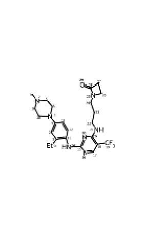 CCc1cc(N2CCN(C)CC2)ccc1Nc1ncc(C(F)(F)F)c(NCCCN2CCC2=O)n1